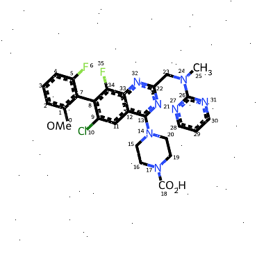 COc1cccc(F)c1-c1c(Cl)cc2c(N3CCN(C(=O)O)CC3)nc(CN(C)c3ncccn3)nc2c1F